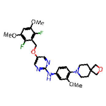 COc1cc(Nc2ncc(OCc3c(F)c(OC)cc(OC)c3F)cn2)ccc1N1CCC2(CC1)COC2